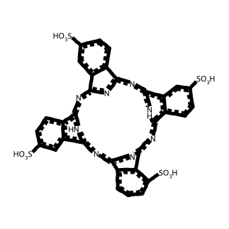 O=S(=O)(O)c1ccc2c(c1)-c1nc-2nc2[nH]c(nc3nc(nc4[nH]c(n1)c1ccc(S(=O)(=O)O)cc41)-c1cccc(S(=O)(=O)O)c1-3)c1ccc(S(=O)(=O)O)cc21